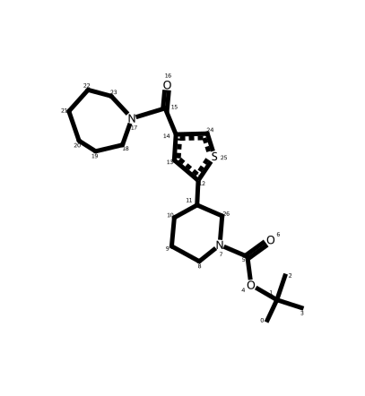 CC(C)(C)OC(=O)N1CCCC(c2cc(C(=O)N3CCCCCC3)cs2)C1